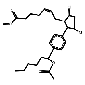 CCCCCC(OC(C)=O)c1ccc(C2[C@@H](C/C=C\CCCC(=O)OC)C(Cl)C[C@H]2Cl)cc1